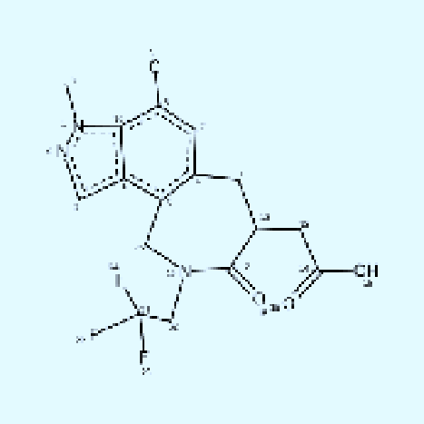 Cn1ncc2c3c(cc(Cl)c21)CC(CC(=O)O)C(=O)N(CC(F)(F)F)C3